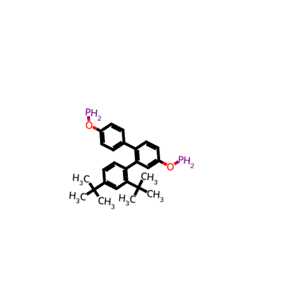 CC(C)(C)c1ccc(-c2cc(OP)ccc2-c2ccc(OP)cc2)c(C(C)(C)C)c1